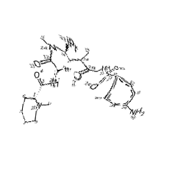 CC[C@H](C)C(NC(=O)[C@H]1CCCCN1C)C(=O)N(C)[C@H](/C=C(\C)C(=O)NS(=O)(=O)c1ccc(N)cc1)C(C)C